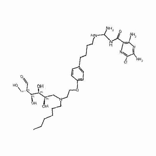 CCCCCCN(CCOc1ccc(CCCCNC(N)NC(=O)c2nc(Cl)c(N)nc2N)cc1)C[C@@H](O)[C@H](O)[C@@H](O)[C@@H](C=O)CO